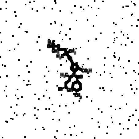 CC[C@@H](O)CC[C@@H](C)N(c1cc(C#CC(C)(C)CCOP(C)(C)=O)sc1C(=O)O)C(=O)[C@H]1CC[C@H](C)CC1